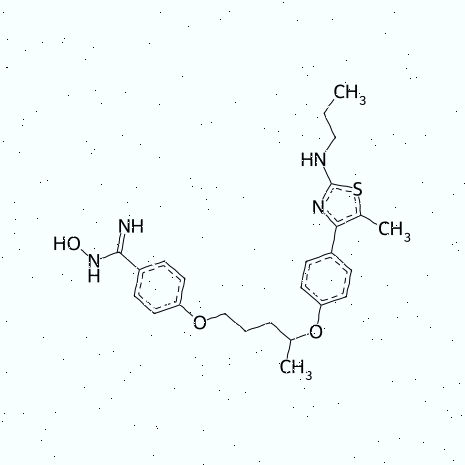 CCCNc1nc(-c2ccc(OC(C)CCCOc3ccc(C(=N)NO)cc3)cc2)c(C)s1